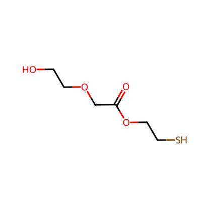 O=C(COCCO)OCCS